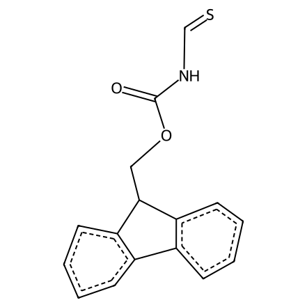 O=C(NC=S)OCC1c2ccccc2-c2ccccc21